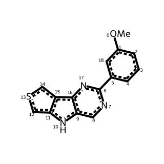 COc1cccc(-c2ncc3[nH]c4cscc4c3n2)c1